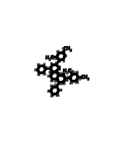 Cc1ccc(-c2cc(-c3ccccc3)c3ccc4c(-c5ccccc5)cc(-c5ccc(C)cc5C)nc4c3n2)c(C)c1